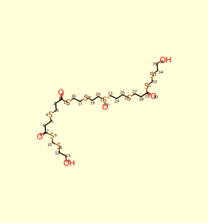 O=C(CCSCCC(=O)SCSCCO)SCCSCC[S+]([O-])CCCSCCC(=O)SCSCCO